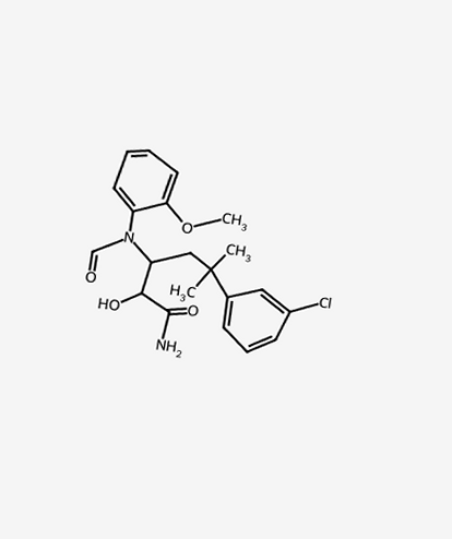 COc1ccccc1N(C=O)C(CC(C)(C)c1cccc(Cl)c1)C(O)C(N)=O